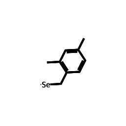 Cc1ccc(C[Se])c(C)c1